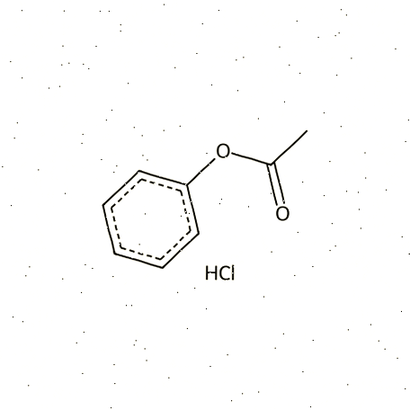 CC(=O)Oc1ccccc1.Cl